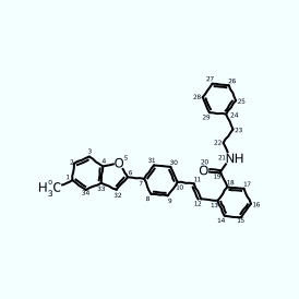 Cc1ccc2oc(-c3ccc(C=Cc4ccccc4C(=O)NCCc4ccccc4)cc3)cc2c1